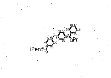 CCCC(C)C(C)c1ccc(Cc2ccc(N(CCC)c3ccccc3)cc2)cc1